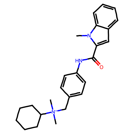 Cn1c(C(=O)Nc2ccc(C[N+](C)(C)C3CCCCC3)cc2)cc2ccccc21